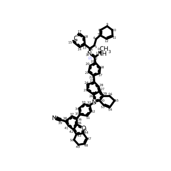 CN/C(=N\C(CCC1=CCCC=C1)c1ccccc1)c1ccc(-c2ccc3c(c2)c2c(n3-c3ccc(-c4cc(C#N)cc5c6c(oc45)C=CCC6)cc3)C=CCC2)cc1